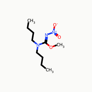 CCCCN(CCCC)C(=N[N+](=O)[O-])OC